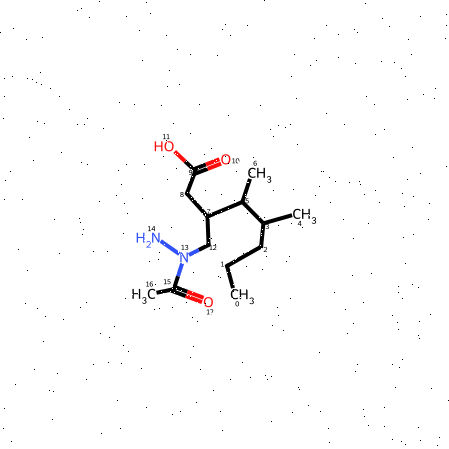 CCCC(C)C(C)C(CC(=O)O)CN(N)C(C)=O